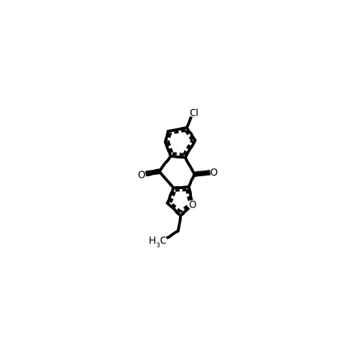 CCc1cc2c(o1)C(=O)c1cc(Cl)ccc1C2=O